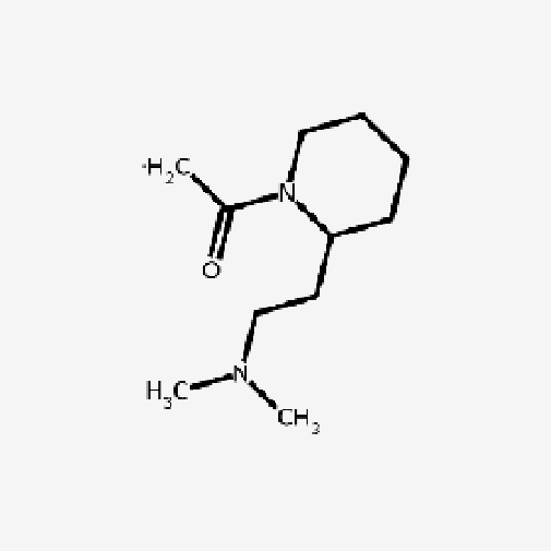 [CH2]C(=O)N1CCCCC1CCN(C)C